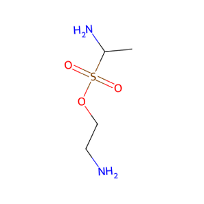 CC(N)S(=O)(=O)OCCN